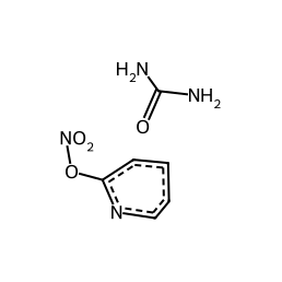 NC(N)=O.O=[N+]([O-])Oc1ccccn1